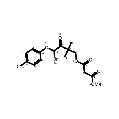 COC(=O)CC(=O)OCC(C)(C)C(=O)C(Br)Oc1ccc(Cl)cc1